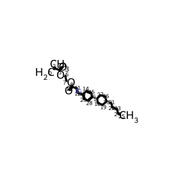 C=C(C)C(=O)OCCOC(=O)/C=C/c1ccc([C@H]2CC[C@H](CCCCC)CC2)cc1